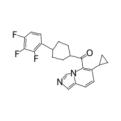 O=C(c1c(C2CC2)ccc2cncn12)C1CCC(c2ccc(F)c(F)c2F)CC1